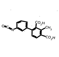 Cc1c(C(=O)O)ccc(-c2cccc(N=C=O)c2)c1C(=O)O